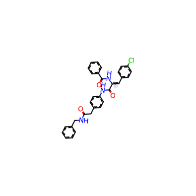 O=C(Cc1ccc(NC(=O)/C(=C/c2ccc(Cl)cc2)NC(=O)c2ccccc2)cc1)NCc1ccccc1